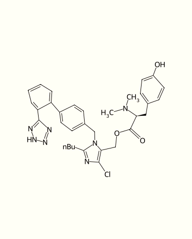 CCCCc1nc(Cl)c(COC(=O)[C@H](Cc2ccc(O)cc2)N(C)C)n1Cc1ccc(-c2ccccc2-c2nn[nH]n2)cc1